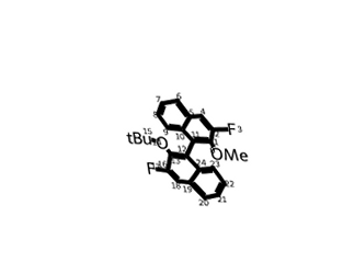 COc1c(F)cc2ccccc2c1-c1c(OC(C)(C)C)c(F)cc2ccccc12